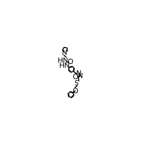 O=C(NCCN1CCCC1)Nc1ccc(-c2nnc(CSCCOc3ccccc3)o2)cc1